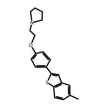 Cc1ccc2sc(-c3ccc(OCCN4CCCC4)cc3)cc2c1